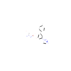 Cc1ccc(-c2cc(OC(=O)N[C@@H](C)CO)cc(-n3nncc3C(C)C)c2)cc1